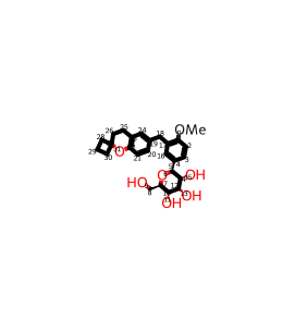 COc1ccc([C@@H]2O[C@H](CO)[C@@H](O)[C@H](O)[C@H]2O)cc1Cc1ccc2c(c1)CCC1(CCC1)O2